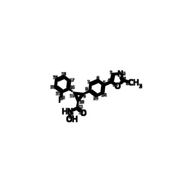 Cc1ncc(-c2ccc([C@H]3[C@@H](C(=O)NO)[C@@H]3c3ccccc3F)cc2)o1